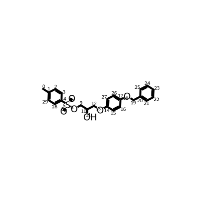 Cc1ccc(S(=O)(=O)OCC(O)COc2ccc(OCc3ccccc3)cc2)cc1